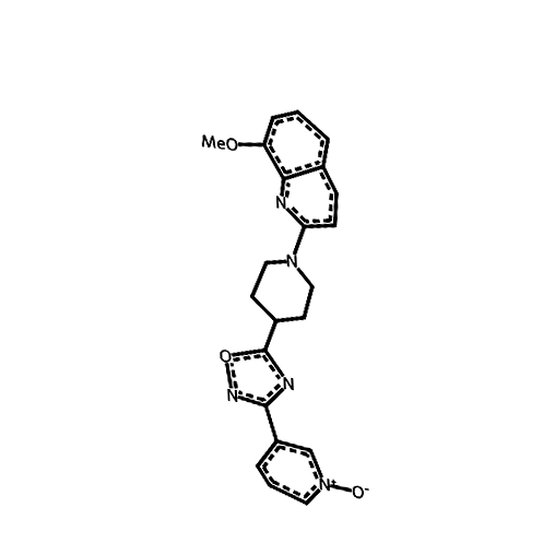 COc1cccc2ccc(N3CCC(c4nc(-c5ccc[n+]([O-])c5)no4)CC3)nc12